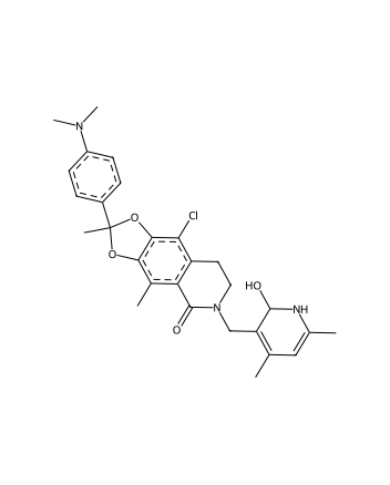 CC1=CC(C)=C(CN2CCc3c(Cl)c4c(c(C)c3C2=O)OC(C)(c2ccc(N(C)C)cc2)O4)C(O)N1